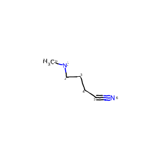 C[N]CCCC#N